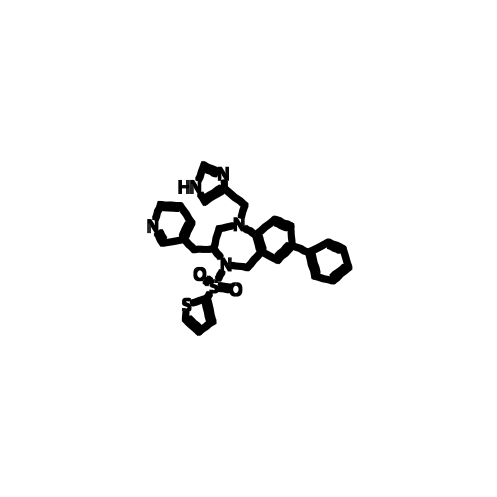 O=S(=O)(c1cccs1)N1Cc2cc(-c3ccccc3)ccc2N(Cc2c[nH]cn2)CC1Cc1cccnc1